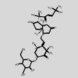 CC[C@@H]1C[C@H](OC2OC(CO)C(O)C(O)C2O)C(=O)C(C)(C)/C1=C/C[C@@H]1CC(=O)C[C@]2(C)[C@@H](C(C)(O)C(=O)/C=C/C(C)(C)OC(C)=O)[C@H](O)C[C@@]12C